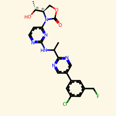 CC(Nc1nccc(N2C(=O)OC[C@@H]2[C@@H](C)O)n1)c1ncc(-c2cc(Cl)cc(CF)c2)cn1